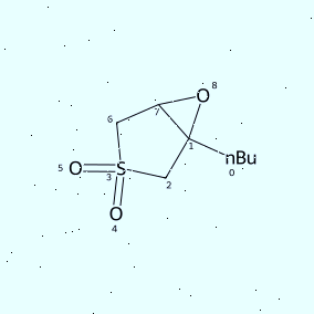 CCCCC12CS(=O)(=O)CC1O2